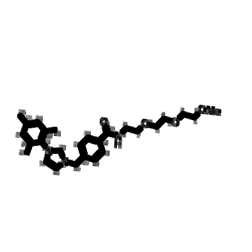 COCCOCCOCCNC(=O)c1ccc(CN2C=CN(c3c(C)cc(C)cc3C)C2)cc1